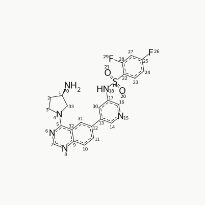 N[C@@H]1CCN(c2ncnc3ccc(-c4cncc(NS(=O)(=O)c5ccc(F)cc5F)c4)cc23)C1